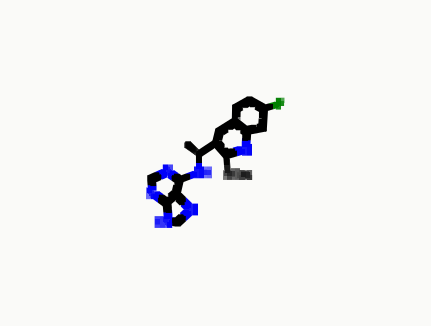 CCCCCCc1nc2cc(F)ccc2cc1[C@H](C)Nc1ncnc2[nH]cnc12